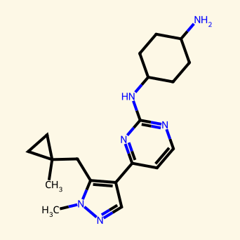 Cn1ncc(-c2ccnc(NC3CCC(N)CC3)n2)c1CC1(C)CC1